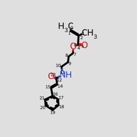 CC=C(C)C(=O)OCCCCNC(=O)/C=C/c1ccccc1